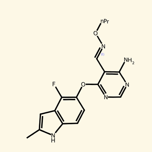 CCCO/N=C/c1c(N)ncnc1Oc1ccc2[nH]c(C)cc2c1F